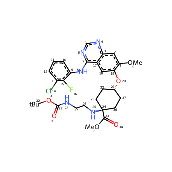 COc1cc2ncnc(Nc3cccc(Cl)c3F)c2cc1O[C@H]1CC[C@@](NCCNC(=O)OC(C)(C)C)(C(=O)OC)CC1